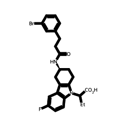 CCC(C(=O)O)n1c2c(c3cc(F)ccc31)C[C@@H](NC(=O)CCc1cccc(Br)c1)CC2